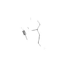 CCCC(CC)OC.N#CO